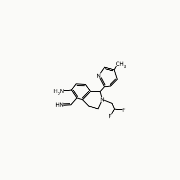 Cc1ccc(C2c3ccc(N)c(C=N)c3CCN2CC(F)F)nc1